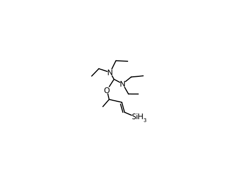 CCN(CC)C(OC(C)C=C[SiH3])N(CC)CC